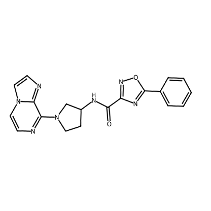 O=C(NC1CCN(c2nccn3ccnc23)C1)c1noc(-c2ccccc2)n1